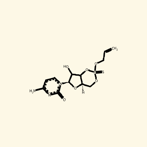 C=CCOP1(=S)OC[C@H]2O[C@@H](n3ccc(N)nc3=O)C(O)C2O1